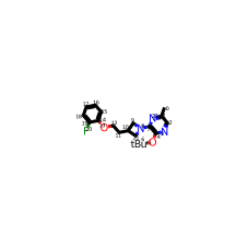 Cc1cnc(OC(C)(C)C)c(N2CC(CCOc3ccccc3F)C2)n1